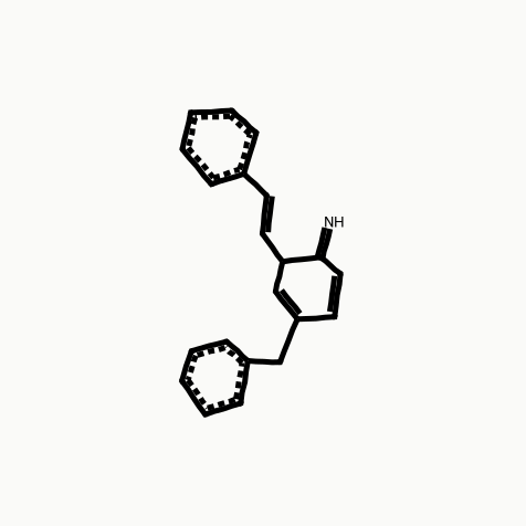 N=C1C=CC(Cc2ccccc2)=CC1C=Cc1ccccc1